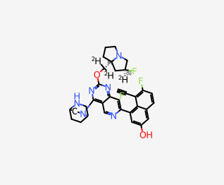 [2H]C([2H])(Oc1nc(N2CC3CCC2CN3)c2cnc(-c3cc(O)cc4ccc(F)c(C#C)c34)c(F)c2n1)[C@]12CCCN1C[C@@]([2H])(F)C2